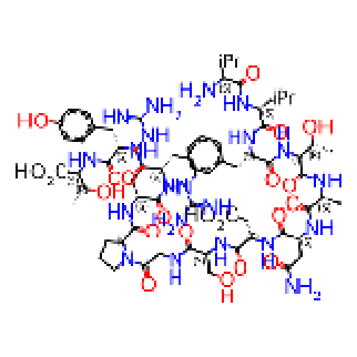 CC(C)[C@H](N)C(=O)N[C@H](C(=O)N[C@@H](Cc1ccccc1)C(=O)N[C@H](C(=O)N[C@@H](C)C(=O)N[C@@H](CC(N)=O)C(=O)N[C@@H](CC(=O)O)C(=O)N[C@@H](CO)C(=O)NCC(=O)N1CCC[C@H]1C(=O)N[C@@H](CCCNC(=N)N)C(=O)N[C@@H](CCCNC(=N)N)C(=O)N[C@@H](Cc1ccc(O)cc1)C(=O)N[C@H](C(=O)O)[C@@H](C)O)[C@@H](C)O)C(C)C